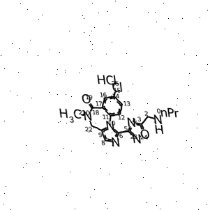 CCCNCc1nc(-c2ncc3n2-c2ccc(Cl)cc2C(=O)N(C)C3)no1.Cl